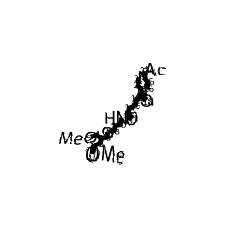 COCCC(COC)COCCCNC(=O)CCCC(=O)N1CCN(CC(C)=O)CC1